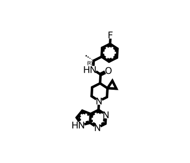 C[C@@H](NC(=O)C1CCN(c2ncnc3[nH]ccc23)CC12CC2)c1cccc(F)c1